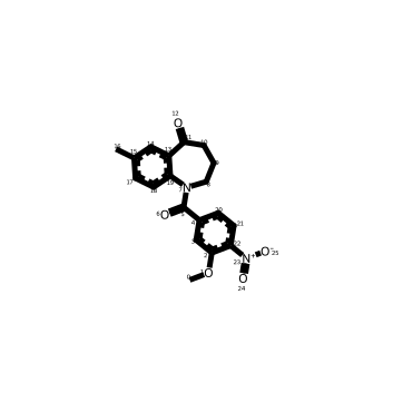 COc1cc(C(=O)N2CCCC(=O)c3cc(C)ccc32)ccc1[N+](=O)[O-]